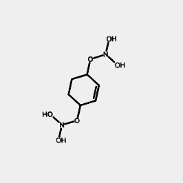 ON(O)OC1C=CC(ON(O)O)CC1